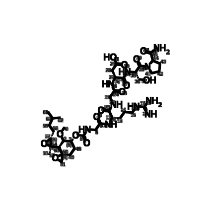 COC1[C@H](OC(=O)NCC(=O)N[C@@H](CCCNC(=N)N)C(=O)NCC(=O)N[C@@H](CC(=O)O)C(=O)N[C@@H](CO)C(=O)N2CCCC2C(N)=O)CC[C@]2(CO2)[C@H]1[C@@]1(C)O[C@@H]1CCC(C)C